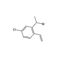 C=Cc1ccc(Cl)cc1C(C)Br